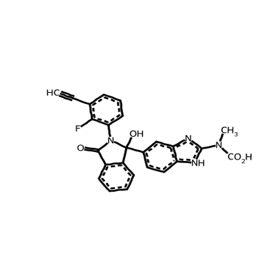 C#Cc1cccc(N2C(=O)c3ccccc3C2(O)c2ccc3[nH]c(N(C)C(=O)O)nc3c2)c1F